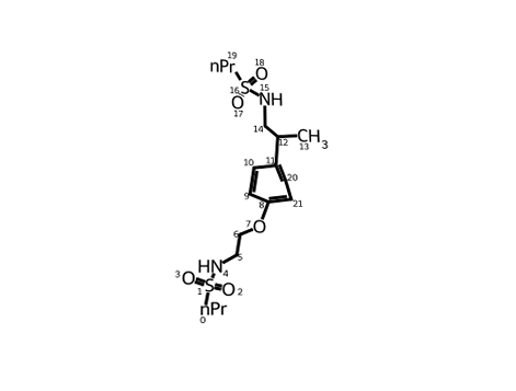 CCCS(=O)(=O)NCCOc1ccc(C(C)CNS(=O)(=O)CCC)cc1